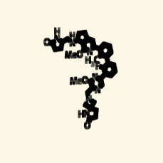 COc1nc(-c2cccc(-c3cccc(-c4cc5c(c(OC)n4)C(NCC4CCC(=O)N4)CC5)c3C)c2F)cnc1CN1CC2(CCC(=O)N2)C1